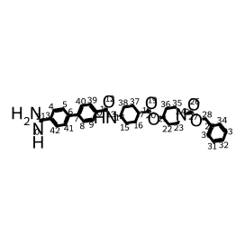 N=C(N)c1ccc(-c2ccc(C(=O)N[C@H]3CC[C@H](C(=O)OC4CCN(C(=O)OCc5ccccc5)CC4)CC3)cc2)cc1